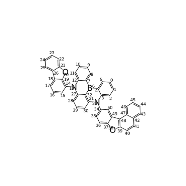 c1ccc2c(c1)B1c3ccccc3N(c3cccc4c3oc3ccccc34)c3cccc(c31)N2c1ccc2oc3ccc4ccccc4c3c2c1